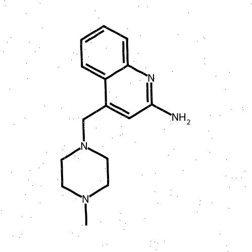 CN1CCN(Cc2cc(N)nc3ccccc23)CC1